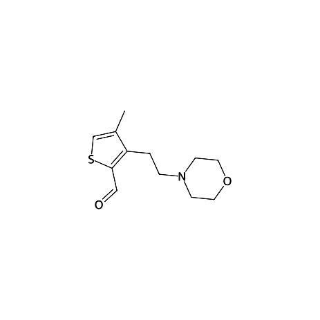 Cc1csc(C=O)c1CCN1CCOCC1